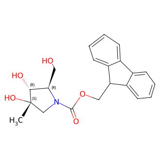 C[C@]1(O)CN(C(=O)OCC2c3ccccc3-c3ccccc32)[C@H](CO)[C@H]1O